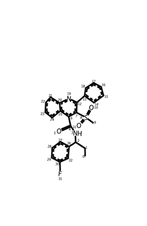 CCC(NC(=O)c1c(S(C)(=O)=O)c(-c2ccccc2)nc2ccccc12)c1cccc(F)c1